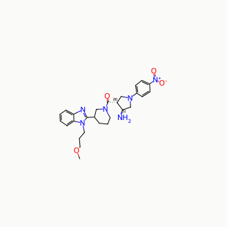 COCCCn1c(C2CCCN(C(=O)[C@@H]3CN(c4ccc([N+](=O)[O-])cc4)C[C@H]3N)C2)nc2ccccc21